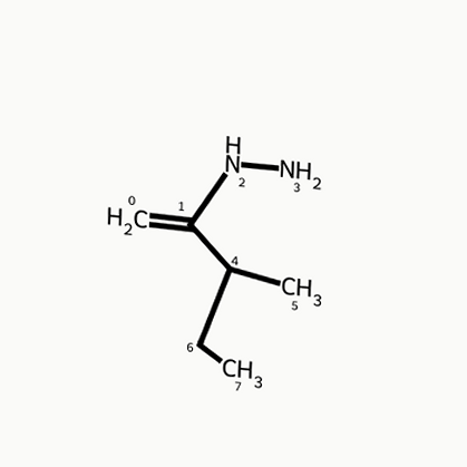 C=C(NN)C(C)CC